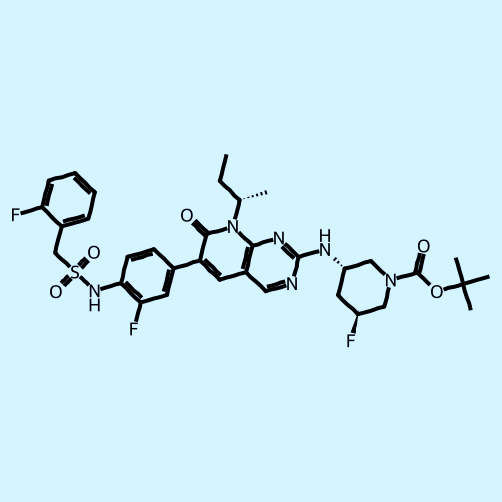 CC[C@H](C)n1c(=O)c(-c2ccc(NS(=O)(=O)Cc3ccccc3F)c(F)c2)cc2cnc(N[C@H]3C[C@H](F)CN(C(=O)OC(C)(C)C)C3)nc21